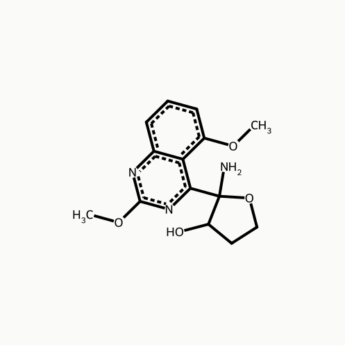 COc1nc(C2(N)OCCC2O)c2c(OC)cccc2n1